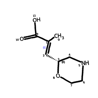 C/C(=C\[C@@H]1CNCCO1)C(=O)O